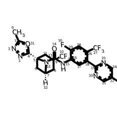 Cc1nnc([C@]23C[C@H](C[C@H](C(F)(F)F)C2)N3C(=O)Nc2cc(-c3ncc(F)cn3)c(C(F)(F)F)cc2F)o1